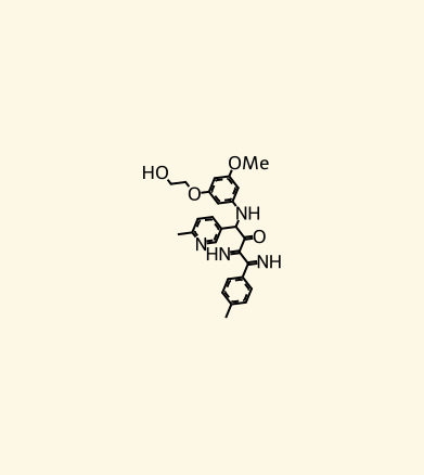 COc1cc(NC(C(=O)C(=N)C(=N)c2ccc(C)cc2)c2ccc(C)nc2)cc(OCCO)c1